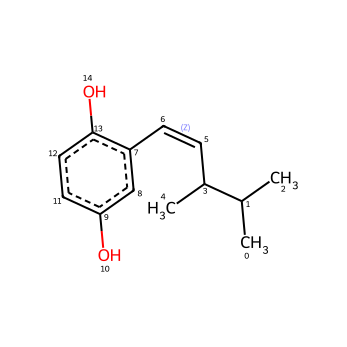 CC(C)C(C)/C=C\c1cc(O)ccc1O